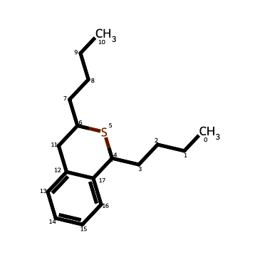 CCCC[C]1SC(CCCC)Cc2ccccc21